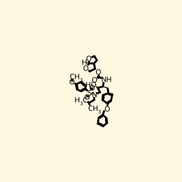 COc1ccc(S(=O)(=O)N(CC(C)C)C[C@@H](O)[C@H](Cc2ccc(OCc3ccccc3)cc2)NC(=O)O[C@H]2CO[C@H]3OCCC32)cc1